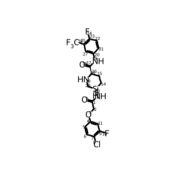 O=C(COc1ccc(Cl)c(F)c1)N[Si@H]1CC[C@H](C(=O)Nc2ccc(F)c(C(F)(F)F)c2)NC1